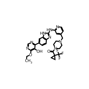 CCOc1ncnc(-c2ccc3nc(Nc4cc(CN5CCN(C(=O)C6(C(F)(F)F)CC6)CC5)ccn4)[nH]c3c2)c1O